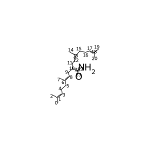 CC(C)=CCC/C(C)=C/CC(C/C=C(\C)CCC=C(C)C)C(N)=O